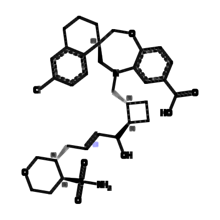 NS(=O)(=O)[C@H]1CCOC[C@@H]1C/C=C/C(O)[C@@H]1CC[C@H]1CN1C[C@@]2(CCCc3cc(Cl)ccc32)COc2ccc(C(=O)O)cc21